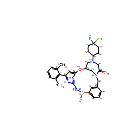 Cc1cccc(C)c1-c1cc2nc(n1)N[S+]([O-])c1cccc(c1)CN1CC(CN(C3CCC(F)(F)CC3)CC1=O)O2